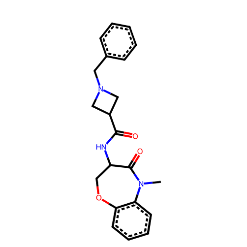 CN1C(=O)C(NC(=O)C2CN(Cc3ccccc3)C2)COc2ccccc21